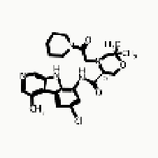 Cc1cncc2[nH]c3c(NC(=O)[C@@H]4COC(C)(C)CN4CC(=O)N4CCCCC4)cc(Cl)cc3c12